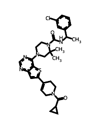 CC(NC(=O)N1CCN(c2ncnc3cc(C4=CCN(C(=O)C5CC5)CC4)sc23)CC1(C)C)c1cccc(Cl)c1